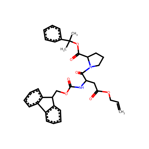 C=CCOC(=O)CC(NC(=O)OCC1c2ccccc2-c2ccccc21)C(=O)N1CCCC1C(=O)OC(C)(C)c1ccccc1